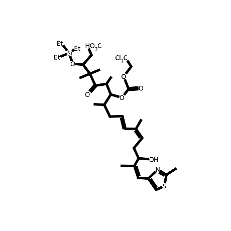 CC[Si](CC)(CC)OC(CC(=O)O)C(C)(C)C(=O)C(C)C(OC(=O)OCC(Cl)(Cl)Cl)C(C)CC=CC(C)=CCC(O)C(C)=Cc1csc(C)n1